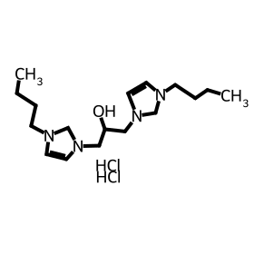 CCCCN1C=CN(CC(O)CN2C=CN(CCCC)C2)C1.Cl.Cl